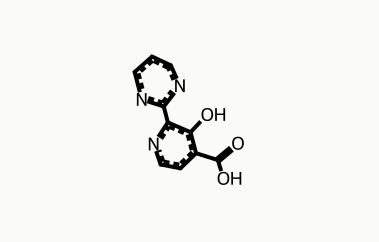 O=C(O)c1ccnc(-c2ncccn2)c1O